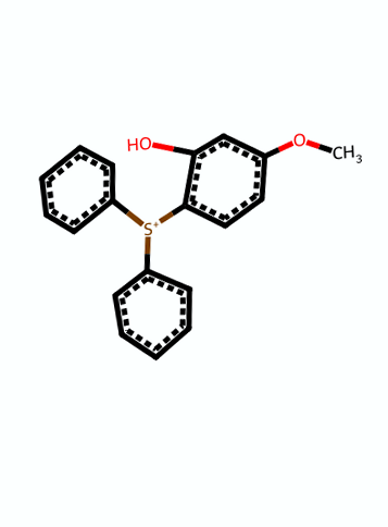 COc1ccc([S+](c2ccccc2)c2ccccc2)c(O)c1